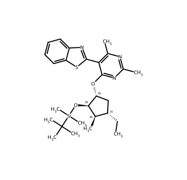 CC[C@H]1C[C@@H](Oc2nc(C)nc(C)c2-c2nc3ccccc3s2)[C@H](O[Si](C)(C)C(C)(C)C)[C@@H]1C